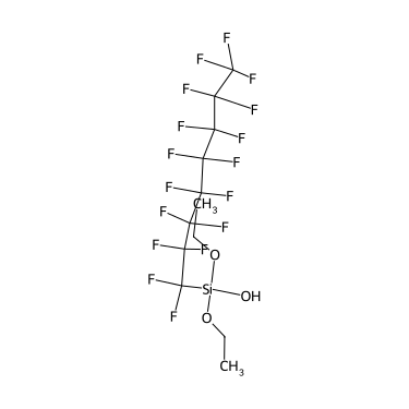 CCO[Si](O)(OCC)C(F)(F)C(F)(F)C(F)(F)C(F)(F)C(F)(F)C(F)(F)C(F)(F)C(F)(F)F